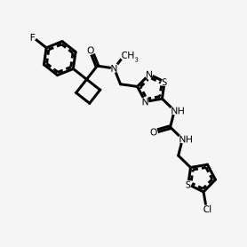 CN(Cc1nsc(NC(=O)NCc2ccc(Cl)s2)n1)C(=O)C1(c2ccc(F)cc2)CCC1